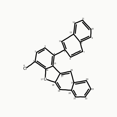 Clc1ccc(-c2ccc3ccccc3c2)c2c1oc1cc3ccccc3cc12